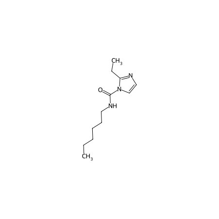 CCCCCCNC(=O)n1ccnc1CC